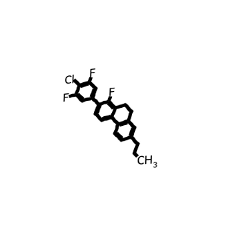 CCCc1ccc2c(c1)CCc1c-2ccc(-c2cc(F)c(Cl)c(F)c2)c1F